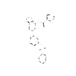 O=C(Nc1cc(-c2cncc(NS(=O)(=O)c3ccccc3)c2)cc2[nH]ncc12)c1cscn1